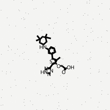 Cc1c(-c2cccc(NC3CC(C)(C)CC(C)(C)C3)c2)sc(-c2nn[nH]n2)c1OCC(=O)O